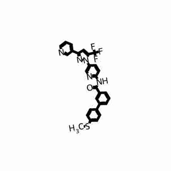 CSc1ccc(-c2cccc(C(=O)Nc3ccc(-n4nc(-c5cccnc5)cc4C(F)(F)F)cn3)c2)cc1